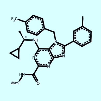 CSNC(=O)c1nc(N[C@H](C)C2CC2)c2c(n1)nc(-c1cccc(C)c1)n2Cc1ccc(C(F)(F)F)cc1